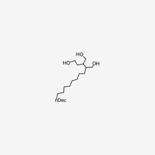 CCCCCCCCCCCCCCCCCCC(CO)C(CO)CCO